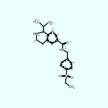 CCS(=O)(=O)c1ccc(CNC(=O)c2cnc3c(c2)CCNC3C(C)C)cc1